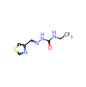 O=C(NCC(F)(F)F)NN=Cc1cs[c]n1